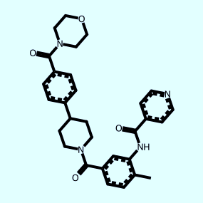 Cc1ccc(C(=O)N2CCC(c3ccc(C(=O)N4CCOCC4)cc3)CC2)cc1NC(=O)c1ccncc1